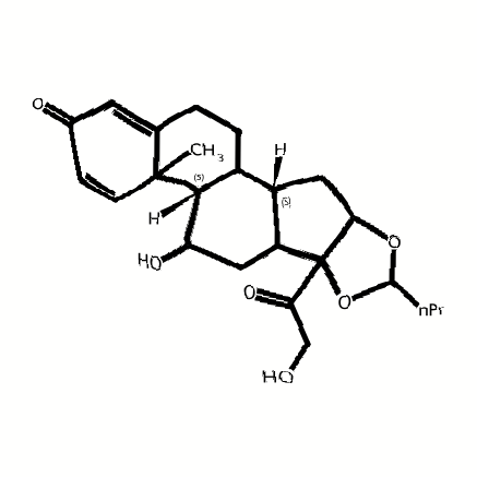 CCCC1OC2C[C@H]3C4CCC5=CC(=O)C=CC5(C)[C@H]4C(O)CC3C2(C(=O)CO)O1